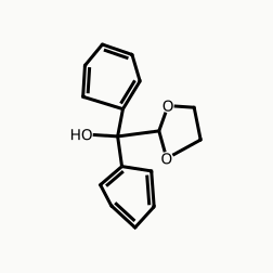 OC(c1ccccc1)(c1ccccc1)C1OCCO1